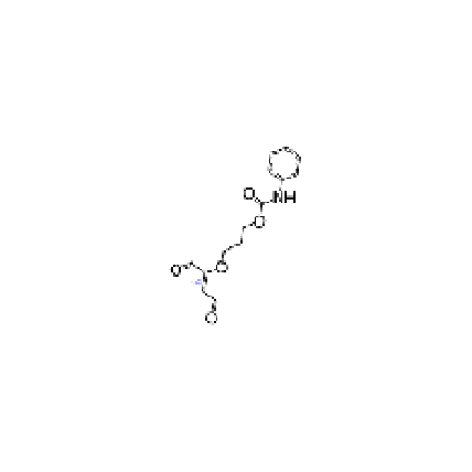 O=C/C=C(/C=O)OCCCOC(=O)Nc1ccccc1